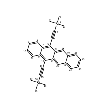 C[Si](C)(C)C#Cc1c2ccccc2c(C#C[Si](C)(C)C)c2cc3ccccc3cc12